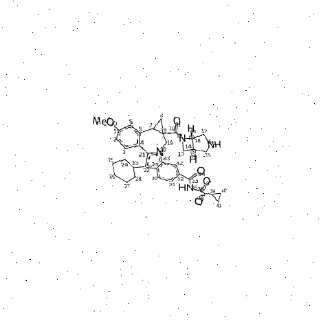 COc1ccc2c(c1)C1CC1(C(=O)N1C[C@@H]3CNC[C@H]31)Cn1c-2c(C2CCCCC2)c2ccc(C(=O)NS(=O)(=O)C3CC3)cc21